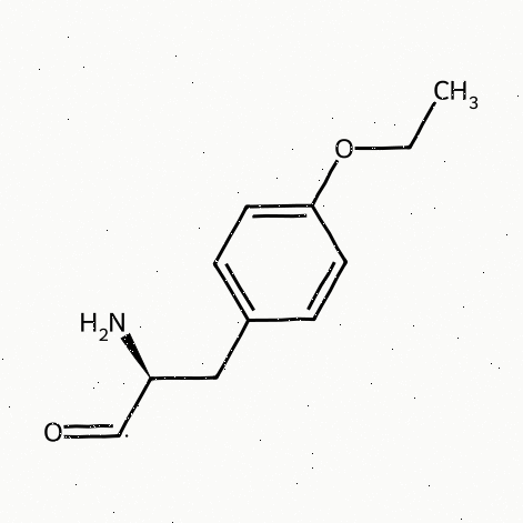 CCOc1ccc(C[C@H](N)[C]=O)cc1